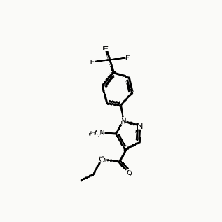 CCOC(=O)c1cnn(-c2ccc(C(F)(F)F)cc2)c1N